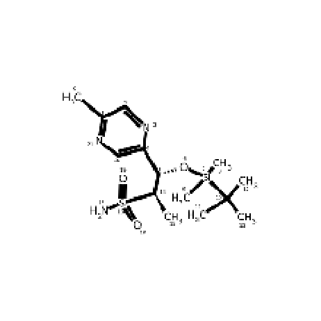 Cc1cnc([C@H](O[Si](C)(C)C(C)(C)C)[C@@H](C)S(N)(=O)=O)cn1